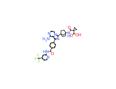 Nc1nccn2c(C34CCC(NC(=O)C5(C(=O)O)CC5)(CC3)C4)nc(-c3ccc(C(=O)Nc4cc(C(F)(F)F)ccn4)cc3)c12